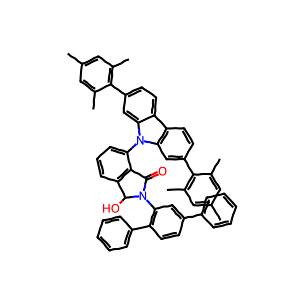 Cc1cc(C)c(-c2ccc3c4ccc(-c5c(C)cc(C)cc5C)cc4n(-c4cccc5c4C(=O)N(c4cc(-c6ccccc6)ccc4-c4ccccc4)C5O)c3c2)c(C)c1